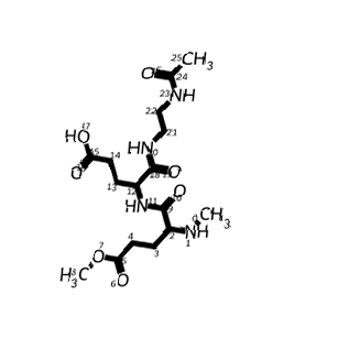 CNC(CCC(=O)OC)C(=O)NC(CCC(=O)O)C(=O)NCCNC(C)=O